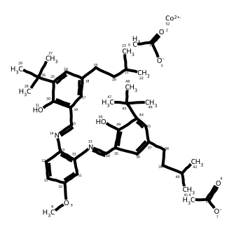 CC(=O)[O-].CC(=O)[O-].COc1ccc(N=Cc2cc(CCC(C)C)cc(C(C)(C)C)c2O)c(N=Cc2cc(CCC(C)C)cc(C(C)(C)C)c2O)c1.[Co+2]